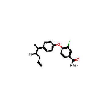 C=CCC(CC)C(C)c1ccc(Oc2ccc(C(=O)NC)cc2F)cc1